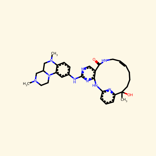 CN1CCN2c3cc(Nc4ncc5c(n4)Nc4cccc(n4)C(C)(O)CCC/C=C\CNC5=O)ccc3N(C)CC2C1